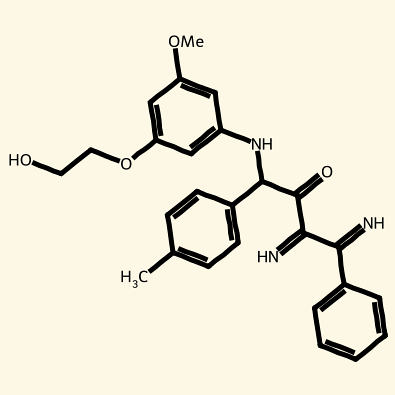 COc1cc(NC(C(=O)C(=N)C(=N)c2ccccc2)c2ccc(C)cc2)cc(OCCO)c1